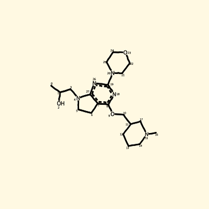 CC(O)CN1CCc2c(OCC3CCCN(C)C3)nc(N3CCOCC3)nc21